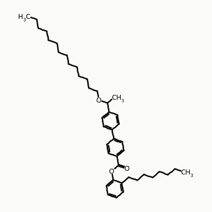 CCCCCCCCCCCCCCOC(C)c1ccc(-c2ccc(C(=O)Oc3ccccc3CCCCCCCC)cc2)cc1